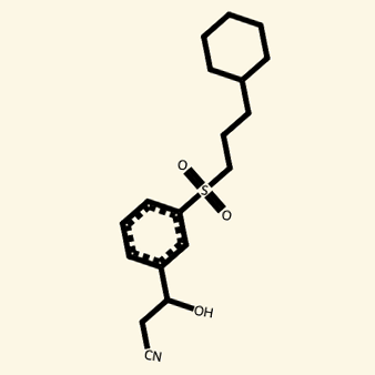 N#CCC(O)c1cccc(S(=O)(=O)CCCC2CCCCC2)c1